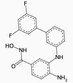 Nc1ccc(C(=O)NO)cc1Nc1cccc(-c2cc(F)cc(F)c2)c1